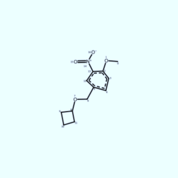 COc1ccc(COC2CCC2)cc1[N+](=O)[O-]